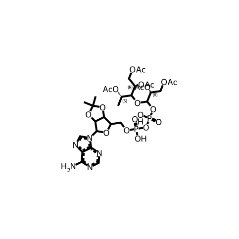 CC(=O)OC[C@@H](OC(C)=O)C(OC([C@H](C)OC(C)=O)[C@@H](COC(C)=O)OC(C)=O)OP(=O)(O)OP(=O)(O)OCC1OC(n2cnc3c(N)ncnc32)C2OC(C)(C)OC12